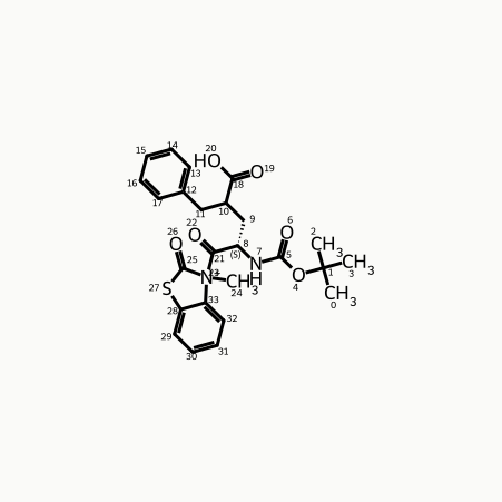 CC(C)(C)OC(=O)N[C@@H](CC(Cc1ccccc1)C(=O)O)C(=O)[N+]1(C)C(=O)Sc2ccccc21